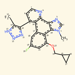 Cn1cnc2c3nccc(-c4nn[nH]c4C(F)(F)F)c3c3cc(F)cc(OCC4CC4)c3c21